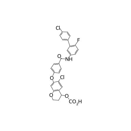 O=C(O)OC1CCOc2cc(Oc3ccc(C(=O)Nc4ccc(F)c(-c5ccc(Cl)cc5)c4)cc3)c(Cl)cc21